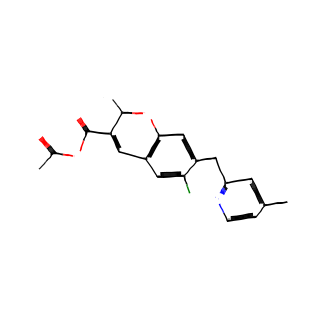 Cc1ccnc(Cc2cc3c(cc2Cl)C=C(C(=O)OC(=O)C(F)(F)F)C(C(F)(F)F)O3)c1